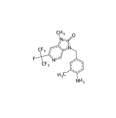 Cc1cc(Cn2c(=O)n(C)c3cc(C(F)(C(F)(F)F)C(F)(F)F)ncc32)ccc1N